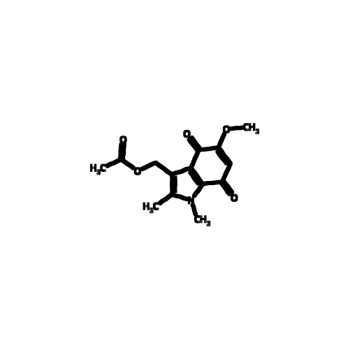 COC1=CC(=O)c2c(c(COC(C)=O)c(C)n2C)C1=O